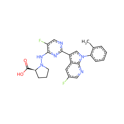 Cc1ccccc1-n1cc(-c2ncc(F)c(NN3CCC[C@H]3C(=O)O)n2)c2cc(F)cnc21